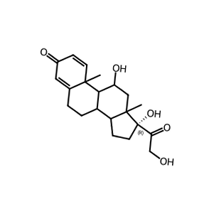 CC12C=CC(=O)C=C1CCC1C2C(O)CC2(C)C1CC[C@]2(O)C(=O)CO